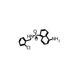 Nc1cccc2c(S(=O)(=O)NCc3ccccc3Cl)cccc12